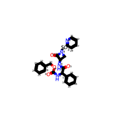 O=C(NC(C(=O)NC1CN(S(=O)(=O)O)C1=O)c1ccccc1)OCc1ccccc1.c1ccncc1